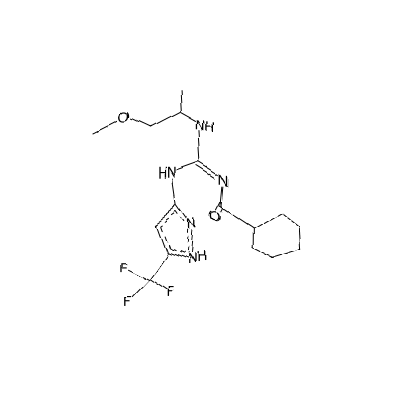 COCC(C)N/C(=N/C(=O)C1CCCCC1)Nc1cc(C(F)(F)F)[nH]n1